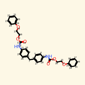 O=C(Nc1ccc(Cc2ccc(NC(=O)OCCOc3ccccc3)cc2)cc1)OCCOc1ccccc1